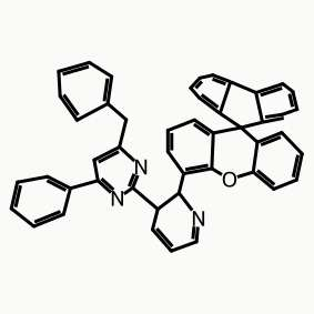 C1=CC(c2nc(Cc3ccccc3)cc(-c3ccccc3)n2)C(c2cccc3c2Oc2ccccc2C32c3ccccc3-c3ccccc32)N=C1